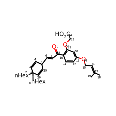 CCCCCCC1(CCCCCC)C=CC(/C=C/C(=O)c2ccc(OCC=C(C)C)cc2OCC(=O)O)C=C1